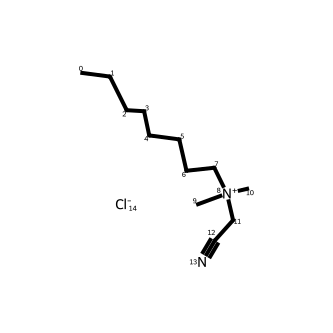 CCCCCCCC[N+](C)(C)CC#N.[Cl-]